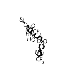 CC(Nc1cnn(COCC[Si](C)(C)C)c(=O)c1C(F)(F)F)C(O)c1ccc(C(=O)N2CCN(c3ncc(C(F)(F)F)cn3)CC2)o1